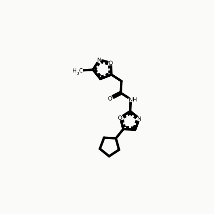 Cc1cc(CC(=O)Nc2ncc(C3CCCC3)o2)on1